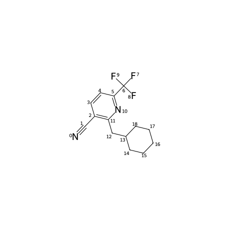 N#Cc1ccc(C(F)(F)F)nc1CC1CCCCC1